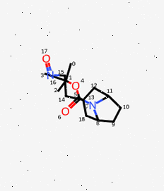 CC(C)(C)OC(=O)N1C2CCC1CC(CCN=O)C2